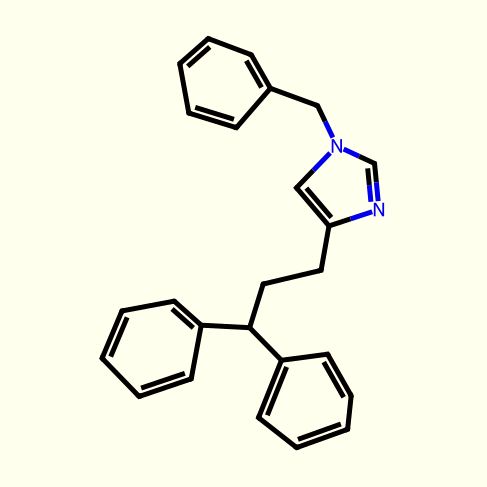 c1ccc(Cn2cnc(CCC(c3ccccc3)c3ccccc3)c2)cc1